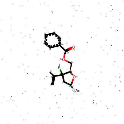 C=C(C)C1(F)CC(OC(C)=O)O[C@@H]1COC(=O)c1ccccc1